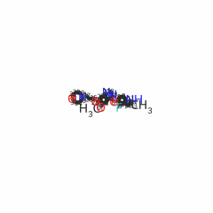 COc1cc2c(Oc3ccc4[nH]c(C)cc4c3F)ncnc2cc1OCCCN1CCCOCCC1